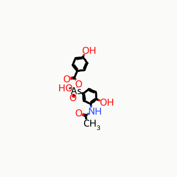 CC(=O)Nc1cc([As](=O)(O)OC(=O)c2ccc(O)cc2)ccc1O